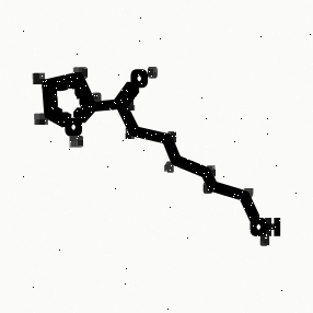 O=C(CCCCCCO)c1ccco1